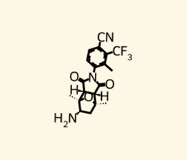 Cc1c(N2C(=O)[C@@H]3[C@H](C2=O)[C@@]2(C)C[C@@H](N)[C@]3(C)O2)ccc(C#N)c1C(F)(F)F